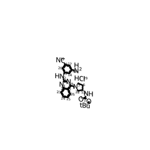 CC(C)(C)OC(=O)N[C@H]1CCN(c2nc(Nc3cc(N)cc(C#N)c3)nc3ccccc23)C1.Cl